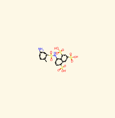 Cc1ccc(N)cc1S(=O)(=O)Nc1ccc(S(=O)(=O)O)c2cc(S(=O)(=O)O)cc(S(=O)(=O)O)c12